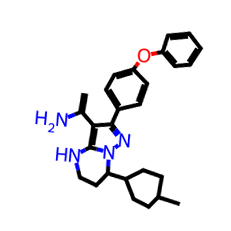 C=C(N)c1c(-c2ccc(Oc3ccccc3)cc2)nn2c1NCCC2C1CCC(C)CC1